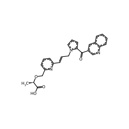 C[C@@H](OCc1cccc(/C=C/Cn2cccc2C(=O)c2cnc3ccccc3c2)n1)C(=O)O